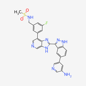 CS(=O)(=O)NCc1cc(F)cc(-c2cncc3[nH]c(-c4n[nH]c5ccc(-c6cncc(N)c6)cc45)nc23)c1